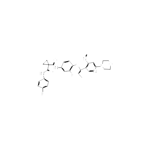 C=Nc1cc(N2CCOCC2)ncc1/C(=C\C)Oc1ccc(NC(=O)C2(C(=O)Nc3ccc(F)cc3)CC2)cc1F